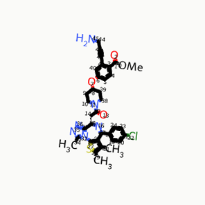 COC(=O)c1ccc(OC2CCN(C(=O)C[C@@H]3N=C(c4ccc(Cl)cc4)c4c(sc(C)c4C)-n4c(C)nnc43)CC2)cc1C#CCN